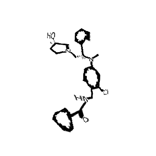 CN(c1ccc(CNC(=O)c2ccccc2)c(Cl)c1)[C@H](CN1CC[C@H](O)C1)c1ccccc1